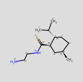 CC(C)[C@@H]1CC[C@@H](C)C[C@H]1C(=S)NCCN